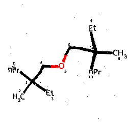 CCCC(C)(CC)COCC(C)(CC)CCC